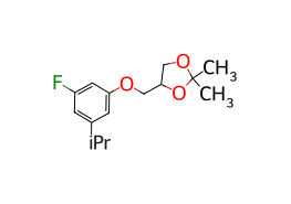 CC(C)c1cc(F)cc(OCC2COC(C)(C)O2)c1